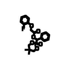 CC1(C)COP(=O)(C(OC(=O)COc2ccccc2F)c2ccccc2)OC1